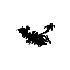 C=C(Cl)c1c[nH]c(=O)[nH]c1=O.C=Cc1c[nH]c(=O)[nH]c1=O.CCCCC#Cc1c[nH]c(=O)[nH]c1=O.N#Cc1c[nH]c(=O)[nH]c1=O.O=c1[nH]cc(C#CBr)c(=O)[nH]1.O=c1[nH]cc(I)c(=O)[nH]1